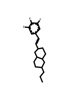 CCCC1CCC2CC(/C=C/c3cc(F)c(F)c(F)c3)CCC2C1